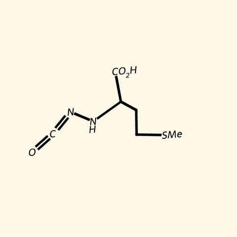 CSCCC(NN=C=O)C(=O)O